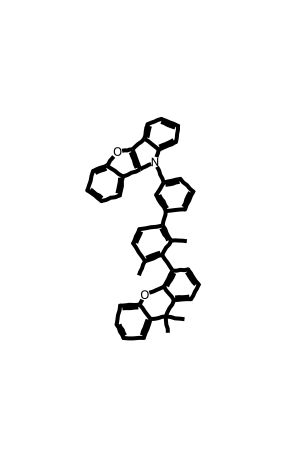 Cc1ccc(-c2cccc(-n3c4ccccc4c4oc5ccccc5c43)c2)c(C)c1-c1cccc2c1Oc1ccccc1C2(C)C